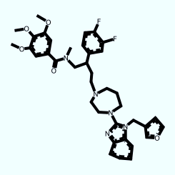 COc1cc(C(=O)N(C)CC(CCN2CCCN(c3nc4ccccc4n3Cc3ccoc3)CC2)c2ccc(F)c(F)c2)cc(OC)c1OC